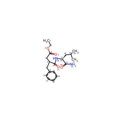 CCOC(=O)CC(Cc1ccccc1)C(=O)N[C@@H](CC(C)C)C(N)=O